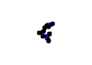 C(=C/c1ccccc1Nc1ccccc1)/c1ccc(-c2ccc3c(c2)c2ccccc2n3-c2cccc(C3=NC(c4ccccc4)=NC(c4ccccc4)N3)c2)cc1